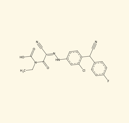 CCN(C(=O)O)C(=O)C(C#N)=NNc1ccc(C(C#N)c2ccc(F)cc2)c(Cl)c1